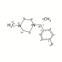 C[C@H](c1ccc(F)cc1)N1CCN(C)CC1